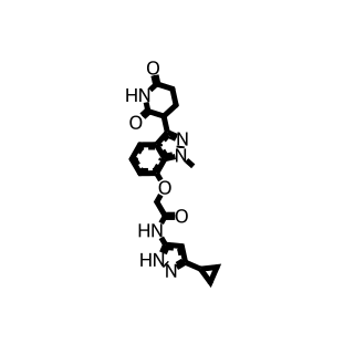 Cn1nc(C2CCC(=O)NC2=O)c2cccc(OCC(=O)Nc3cc(C4CC4)n[nH]3)c21